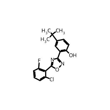 CC(C)(C)c1ccc(O)c(-c2noc(-c3c(F)cccc3Cl)n2)c1